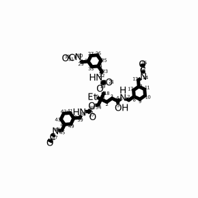 CCC(CCC(O)NCC1CCCC(CN=C=O)C1)(COC(=O)NCC1CCCC(CN=C=O)C1)COC(=O)NCC1CCCC(CN=C=O)C1